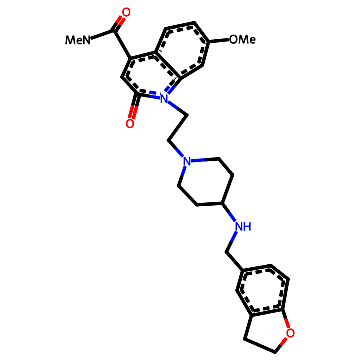 CNC(=O)c1cc(=O)n(CCN2CCC(NCc3ccc4c(c3)CCO4)CC2)c2cc(OC)ccc12